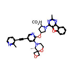 Cc1nc(N2C[C@@H](Oc3ncc(C#Cc4cccnc4C)cc3N3CCOC4(COC4)[C@@H]3C)C[C@H]2C(=O)O)c2oc3ccccc3c2n1